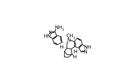 CN1c2ccc3[nH]ncc3c2[C@H]2[C@@H]3CCC(C3)[C@H]2[C@@H]1c1ccc2[nH]nc(N)c2c1